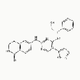 O=C1NCCc2cc(Nc3ncc(-c4cnn[nH]4)c(N[C@H](CO)c4ccccc4)n3)ccc21